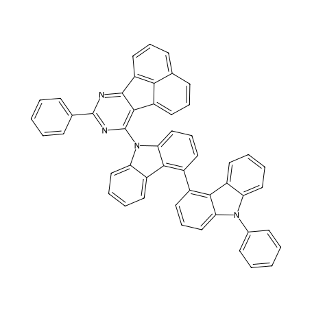 c1ccc(-c2nc3c(c(-n4c5ccccc5c5c(-c6cccc7c6c6ccccc6n7-c6ccccc6)cccc54)n2)-c2cccc4cccc-3c24)cc1